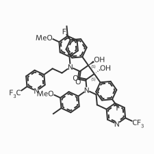 COc1cc(N(CCc2ccc(C(F)(F)F)nc2)C(=O)[C@](O)(c2ccc(F)cc2)[C@](O)(C(=O)N(CCc2ccc(C(F)(F)F)nc2)c2ccc(C)c(OC)c2)c2ccc(F)cc2)ccc1C